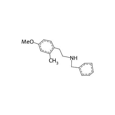 COc1ccc(CCNCc2ccccc2)c(C)c1